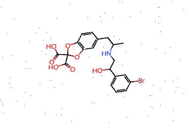 CC(Cc1ccc2c(c1)OC(C(=O)O)(C(=O)O)O2)NCC(O)c1cccc(Br)c1